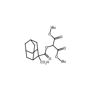 CC(C)(C)OC(=O)C(OC(=O)C1(C(=O)O)C2CC3CC(C2)CC1C3)C(=O)OC(C)(C)C